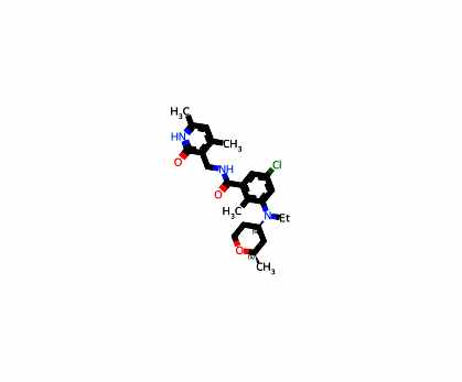 CCN(c1cc(Cl)cc(C(=O)NCc2c(C)cc(C)[nH]c2=O)c1C)[C@H]1CCO[C@@H](C)C1